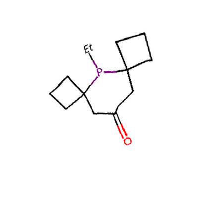 CCP1C2(CCC2)CC(=O)CC12CCC2